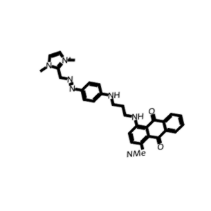 CNc1ccc(NCCCNc2ccc(/N=N/Cc3n(C)cc[n+]3C)cc2)c2c1C(=O)c1ccccc1C2=O